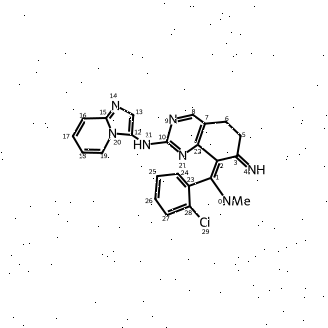 CN/C(=C1\C(=N)CCc2cnc(Nc3cnc4ccccn34)nc21)c1ccccc1Cl